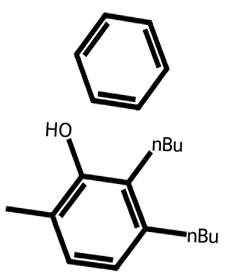 CCCCc1ccc(C)c(O)c1CCCC.c1ccccc1